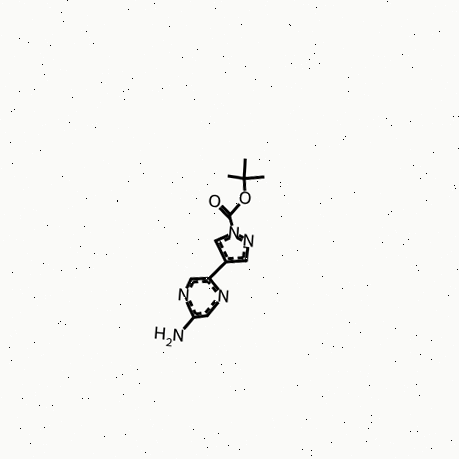 CC(C)(C)OC(=O)n1cc(-c2cnc(N)cn2)cn1